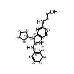 OCCNc1ncc2nc(NC3=C(F)CCC=C3)n(C3CCCC3)c2n1